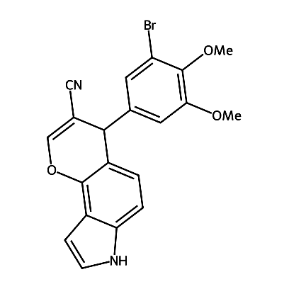 COc1cc(C2C(C#N)=COc3c2ccc2[nH]ccc32)cc(Br)c1OC